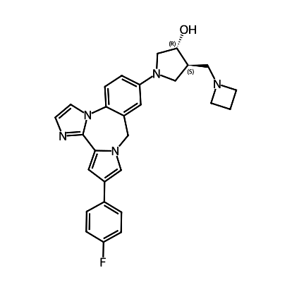 O[C@H]1CN(c2ccc3c(c2)Cn2cc(-c4ccc(F)cc4)cc2-c2nccn2-3)C[C@@H]1CN1CCC1